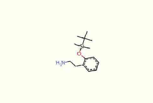 CC(C)(C)[Si](C)(C)Oc1ccccc1CCN